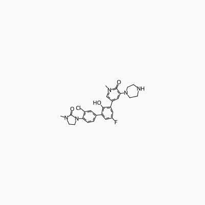 CN1CCN(c2ccc(-c3cc(F)cc(-c4cc(N5CCNCC5)c(=O)n(C)c4)c3O)cc2Cl)C1=O